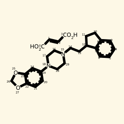 O=C(O)/C=C/C(=O)O.c1ccc2c(c1)CCC2CCN1CCN(c2ccc3c(c2)OCO3)CC1